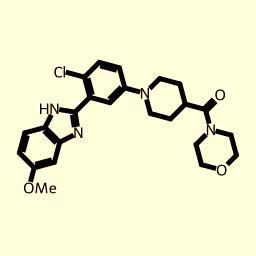 COc1ccc2[nH]c(-c3cc(N4CCC(C(=O)N5CCOCC5)CC4)ccc3Cl)nc2c1